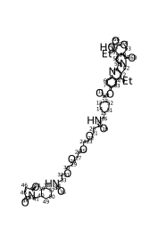 CCc1c2c(nc3ccc(OC(=O)[C@H]4CC[C@H](CNC(=O)CCOCCOCCOCCOCCNC(=O)[C@H]5CC[C@H](CN6C(=O)C=CC6=O)CC5)CC4)cc13)-c1cc3c(c(=O)n1C2)COC(=O)[C@]3(O)CC